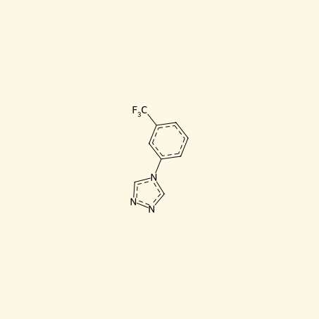 FC(F)(F)c1cccc(-n2cnnc2)c1